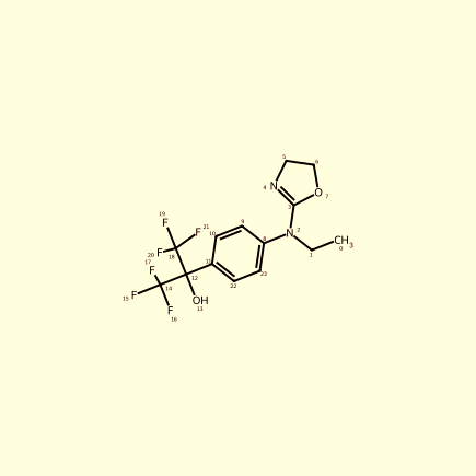 CCN(C1=NCCO1)c1ccc(C(O)(C(F)(F)F)C(F)(F)F)cc1